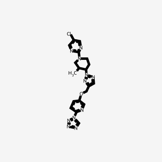 CC1CN(c2ncc(Cl)cn2)CCC1n1ncc(COc2ccc(-n3cnnn3)nc2)n1